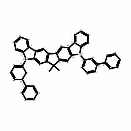 CC1(C)c2cc3c(cc2-c2cc4c5ccccc5n(-c5cccc(-c6ccccc6)c5)c4cc21)c1ccccc1n3C1=CC=CC(c2ccccc2)C1